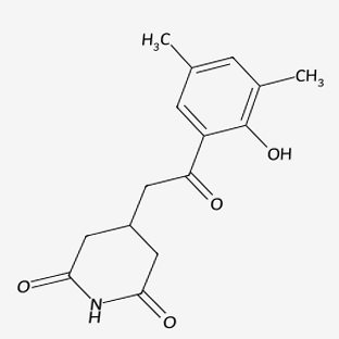 Cc1cc(C)c(O)c(C(=O)CC2CC(=O)NC(=O)C2)c1